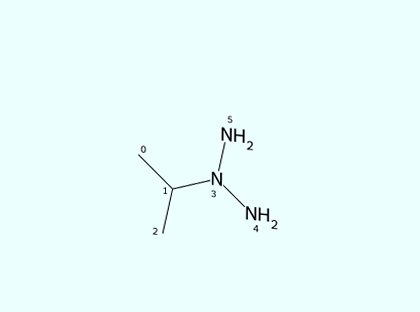 CC(C)N(N)N